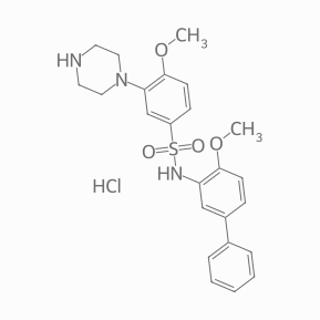 COc1ccc(-c2ccccc2)cc1NS(=O)(=O)c1ccc(OC)c(N2CCNCC2)c1.Cl